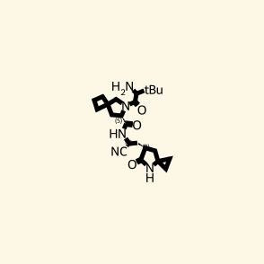 CC(C)(C)C(N)C(=O)N1CC2(CCC2)C[C@H]1C(=O)N[C@H](C#N)C[C@@H]1CC2(CC2)NC1=O